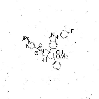 CO[C@]1(c2ccccc2)C[C@@H]2CN(S(=O)(=O)c3cnn(C(C)C)c3)C[C@]2(c2cc3cnn(-c4ccc(F)cc4)c3cc2C)C1